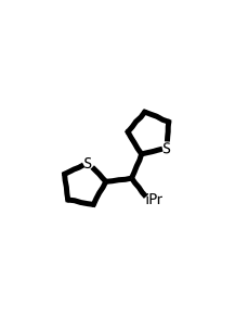 CC(C)C(C1CCCS1)C1CCCS1